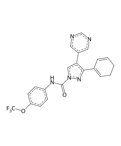 O=C(Nc1ccc(OC(F)(F)F)cc1)n1cc(-c2cncnc2)c(C2=CCCC=C2)n1